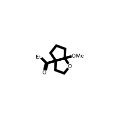 CCC(=O)C12CCCC1(OC)OCC2